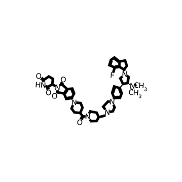 CN(C)[C@H]1CN(C2CCc3cccc(F)c32)C[C@@H]1c1ccc(N2CCN(CC3CCN(C(=O)C4CCN(c5ccc6c(c5)C(=O)N(C5CCC(=O)NC5=O)C6=O)CC4)CC3)CC2)cc1